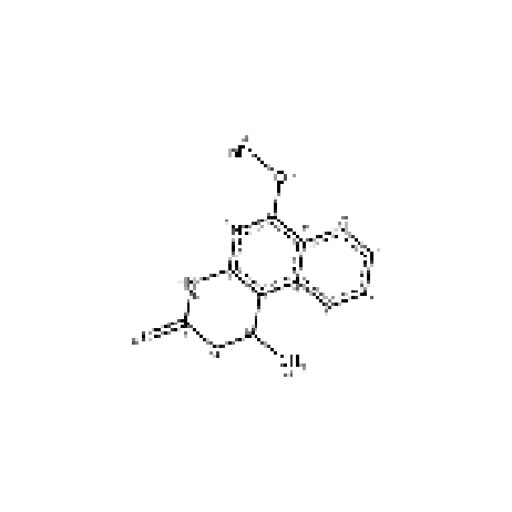 CCCOc1nc2c(c3cccnc13)C(C)CC(=O)N2